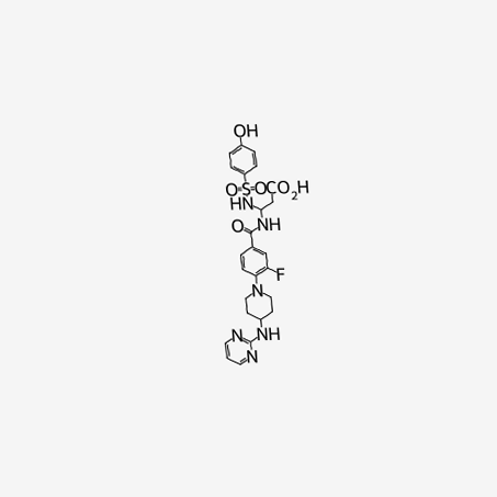 O=C(O)CC(NC(=O)c1ccc(N2CCC(Nc3ncccn3)CC2)c(F)c1)NS(=O)(=O)c1ccc(O)cc1